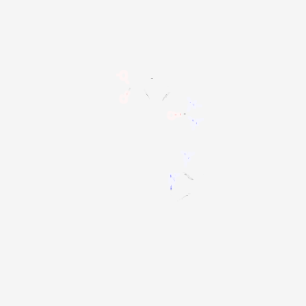 COC(=O)c1ccc(CN2CCN(C3CCN(c4ncc(C(F)(F)F)cc4F)CC3)C2=O)cc1